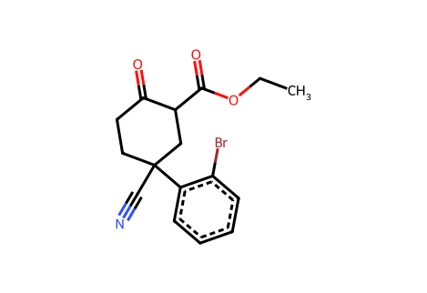 CCOC(=O)C1CC(C#N)(c2ccccc2Br)CCC1=O